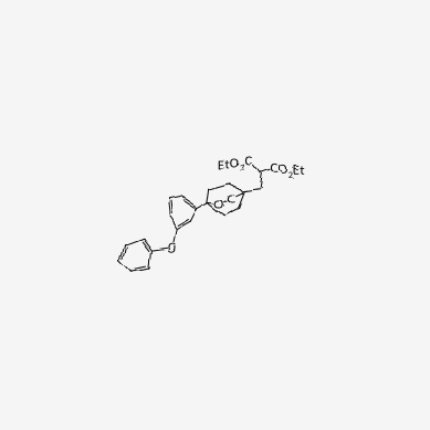 CCOC(=O)C(CC12CCC(c3cccc(Oc4ccccc4)c3)(CC1)OC2)C(=O)OCC